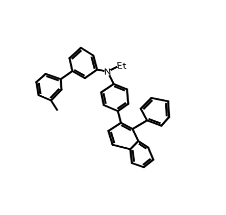 CCN(c1ccc(-c2ccc3ccccc3c2-c2ccccc2)cc1)c1cccc(-c2cccc(C)c2)c1